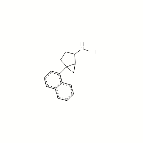 CNC1CCC2(c3cccc4ccccc34)CC12